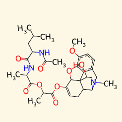 COc1ccc2c3c1OC1C(OC(=O)C(C)OC(=O)C(C)NC(=O)C(CC(C)C)NC(C)=O)=CCC4C(C2)N(C)CC(O)C314